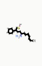 CC\C=C/C=C\C=C\C(N)CCC(CSI)C1CCCCC1